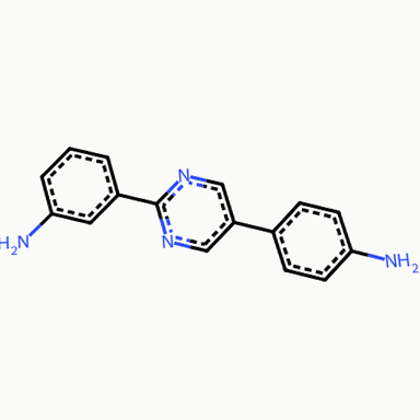 Nc1ccc(-c2cnc(-c3cccc(N)c3)nc2)cc1